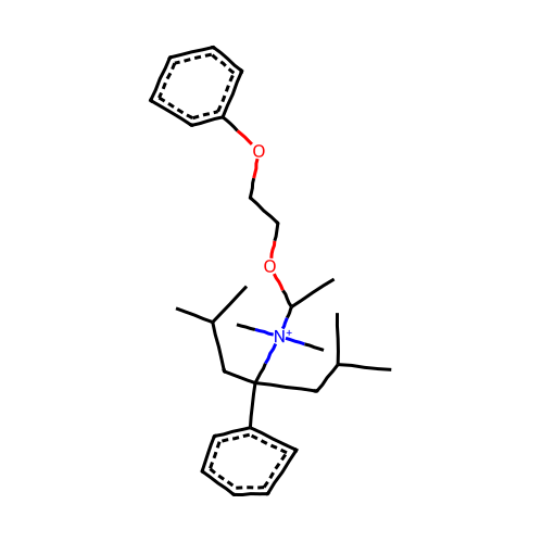 CC(C)CC(CC(C)C)(c1ccccc1)[N+](C)(C)C(C)OCCOc1ccccc1